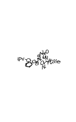 CON=C(C)C(=NOC(=O)N(C)SN(C)C(=O)Oc1ccccc1OC(C)C)C(=O)N(C)C